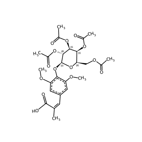 COc1cc(C=C(C)C(=O)O)cc(OC)c1O[C@@H]1O[C@H](COC(C)=O)[C@H](OC(C)=O)[C@H](OC(C)=O)[C@H]1OC(C)=O